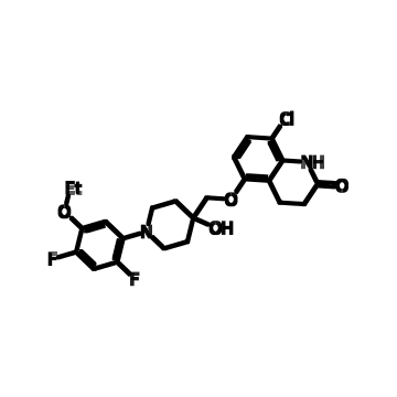 CCOc1cc(N2CCC(O)(COc3ccc(Cl)c4c3CCC(=O)N4)CC2)c(F)cc1F